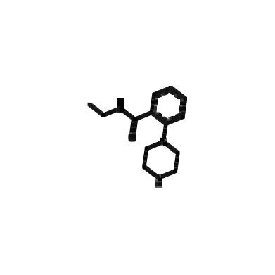 CCNC(=O)c1ccccc1N1CCNCC1